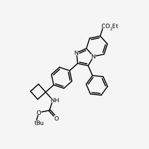 CCOC(=O)c1ccn2c(-c3ccccc3)c(-c3ccc(C4(NC(=O)OC(C)(C)C)CCC4)cc3)nc2c1